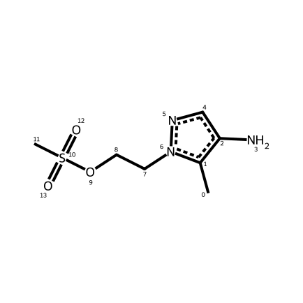 Cc1c(N)cnn1CCOS(C)(=O)=O